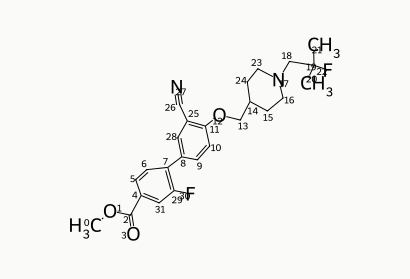 COC(=O)c1ccc(-c2ccc(OCC3CCN(CC(C)(C)F)CC3)c(C#N)c2)c(F)c1